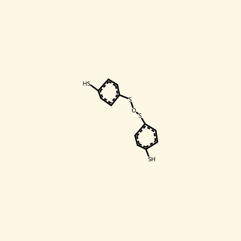 Sc1ccc(SOSc2ccc(S)cc2)cc1